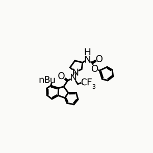 CCCCc1cccc2c1C(C(=O)N(CC(F)(F)F)N1CCC(NC(=O)Oc3ccccc3)C1)c1ccccc1-2